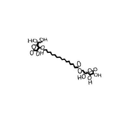 O=C(CCCCCCCCCCCCCCCOC1=C(O)C(=O)O[C@@H]1[C@@H](O)CO)OC[C@H](O)[C@H]1OC(=O)C(O)=C1O